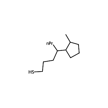 CCCC(CCCS)C1CCCC1C